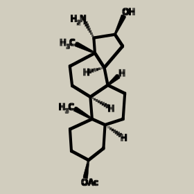 CC(=O)O[C@H]1CC[C@@]2(C)[C@@H](CC[C@@H]3[C@@H]2CC[C@]2(C)[C@H](N)[C@@H](O)C[C@@H]32)C1